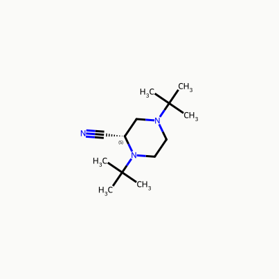 CC(C)(C)N1CCN(C(C)(C)C)[C@H](C#N)C1